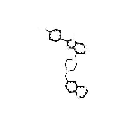 CC(C)(C)c1ccc(-c2nc3c(N4CCN(Cc5ccc6nccnc6c5)CC4)cncc3[nH]2)cc1